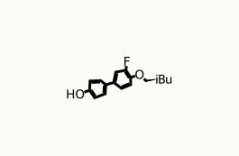 CC[C@H](C)COc1ccc(-c2ccc(O)cc2)cc1F